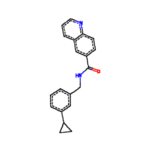 O=C(NCc1cccc(C2CC2)c1)c1ccc2ncccc2c1